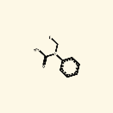 CCCC(=O)N(CF)c1ccccc1